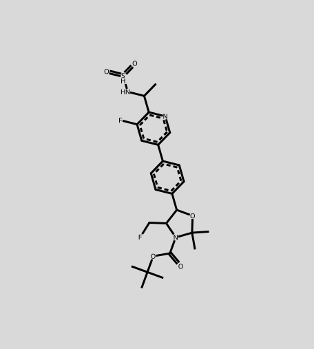 CC(N[SH](=O)=O)c1ncc(-c2ccc(C3OC(C)(C)N(C(=O)OC(C)(C)C)C3CF)cc2)cc1F